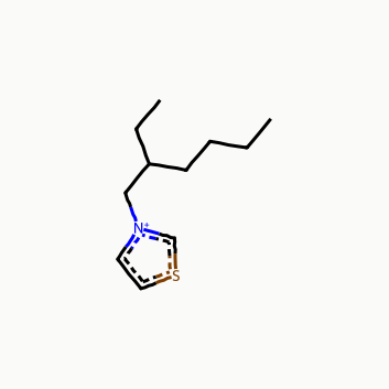 CCCCC(CC)C[n+]1ccsc1